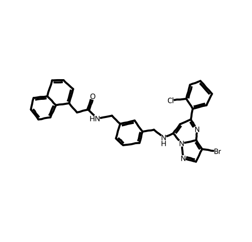 O=C(Cc1cccc2ccccc12)NCc1cccc(CNc2cc(-c3ccccc3Cl)nc3c(Br)cnn23)c1